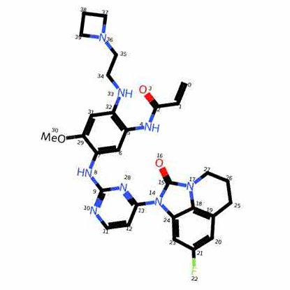 C=CC(=O)Nc1cc(Nc2nccc(-n3c(=O)n4c5c(cc(F)cc53)CCC4)n2)c(OC)cc1NCCN1CCC1